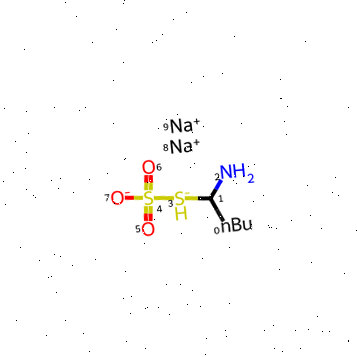 CCCCC(N)[SH-]S(=O)(=O)[O-].[Na+].[Na+]